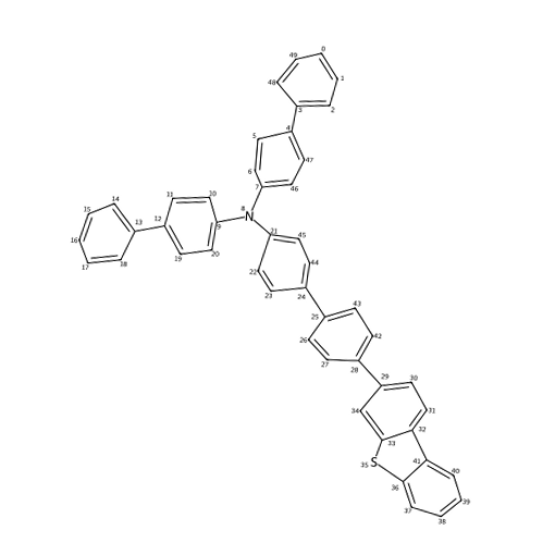 c1ccc(-c2ccc(N(c3ccc(-c4ccccc4)cc3)c3ccc(-c4ccc(-c5ccc6c(c5)sc5ccccc56)cc4)cc3)cc2)cc1